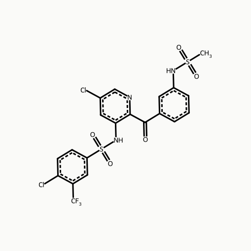 CS(=O)(=O)Nc1cccc(C(=O)c2ncc(Cl)cc2NS(=O)(=O)c2ccc(Cl)c(C(F)(F)F)c2)c1